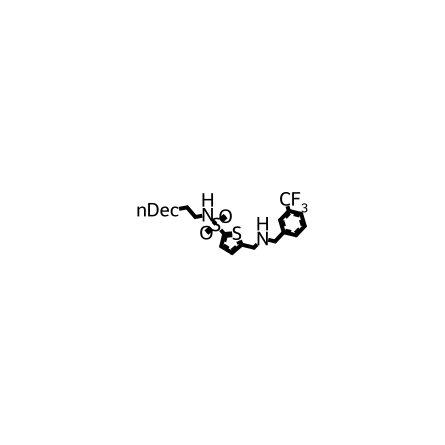 CCCCCCCCCCCCNS(=O)(=O)c1ccc(CNCc2cccc(C(F)(F)F)c2)s1